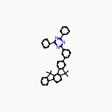 CC1(C)c2cc(-c3cccc(-c4nc(-c5ccccc5)nc(-c5ccccc5)n4)c3)ccc2-c2c1ccc1c2C(C)(C)c2ccccc2-1